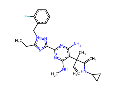 C=CC(C)(C(=C)NC1CC1)c1c(N)nc(-c2nc(CC)n(Cc3ccccc3F)n2)nc1NC